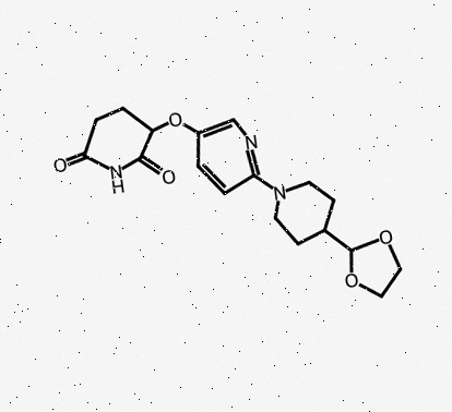 O=C1CCC(Oc2ccc(N3CCC(C4OCCO4)CC3)nc2)C(=O)N1